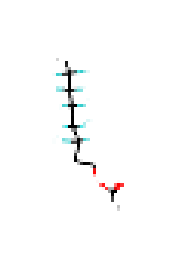 CCC(=O)OCCC(F)(F)C(F)(F)C(F)(F)C(F)(F)C(F)(F)C(F)(F)F